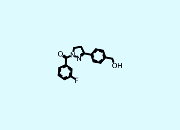 O=C(c1cccc(F)c1)N1CCC(c2ccc(CO)cc2)=N1